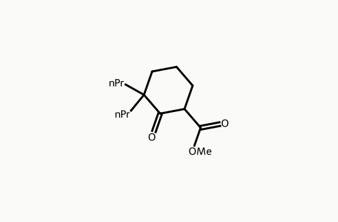 CCCC1(CCC)CCCC(C(=O)OC)C1=O